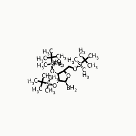 B[C@@H]1O[C@](C#C)(CO[Si](C)(C)C(C)(C)C)[C@@H](O[Si](C)(C)C(C)(C)C)[C@H]1O[Si](C)(C)C(C)(C)C